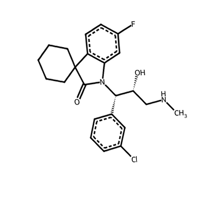 CNC[C@@H](O)[C@H](c1cccc(Cl)c1)N1C(=O)C2(CCCCC2)c2ccc(F)cc21